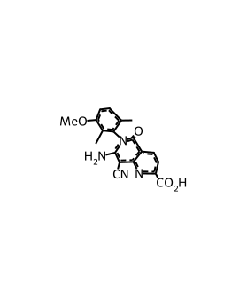 COc1ccc(C)c(-n2c(N)c(C#N)c3nc(C(=O)O)ccc3c2=O)c1C